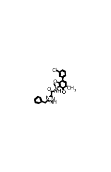 C[C@H]1C=C(c2cccc(Cl)c2)C2=C(C1=O)N(NC(=O)c1n[nH]c(Cc3ccccc3)n1)CO2